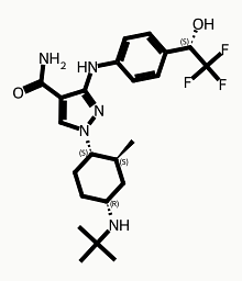 C[C@H]1C[C@H](NC(C)(C)C)CC[C@@H]1n1cc(C(N)=O)c(Nc2ccc([C@H](O)C(F)(F)F)cc2)n1